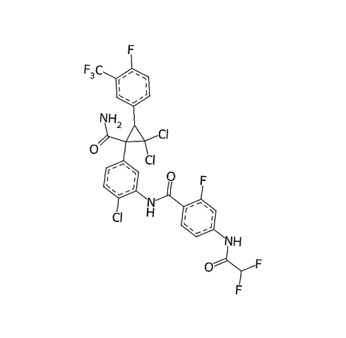 NC(=O)C1(c2ccc(Cl)c(NC(=O)c3ccc(NC(=O)C(F)F)cc3F)c2)C(c2ccc(F)c(C(F)(F)F)c2)C1(Cl)Cl